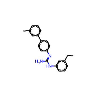 CCc1cccc(NC(N)=Nc2ccc(-c3cccc(C)c3)cc2)c1